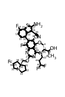 C[C@H](O)[C@H]1COc2c(Cl)c(-c3ccc(F)c4sc(N)c(C#N)c34)c(F)c3nc(OC[C@@]45CCCN4C[C@H](F)C5)nc(c23)N1CCC(F)F